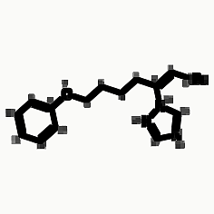 CC(C)(C)C=C(CCCCOc1ccccc1)n1cncn1